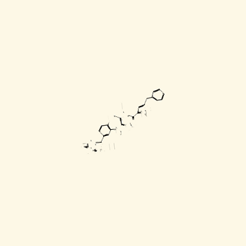 CN1C(=O)[C@@H](NC(=O)c2cc(Cc3ccccc3)on2)COc2ccc(C(O)NS(C)(=O)=O)cc21